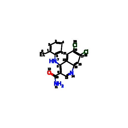 CCc1ccccc1Nc1c(C(N)=O)cnc2cc(Cl)c(Cl)cc12